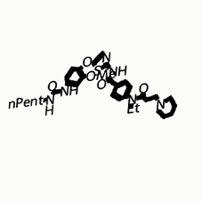 CCCCCNC(=O)Nc1ccc(Oc2cnc(NC(=O)c3ccc(N(CC)C(=O)CCN4CCCCC4)cc3)s2)c(OC)c1